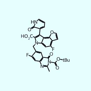 Cc1nc2cc(F)c(Cn3c(C(=O)O)c(-c4ccc[nH]c4=O)c4c5occc5c(F)cc43)cc2c(=O)n1C(=O)OC(C)(C)C